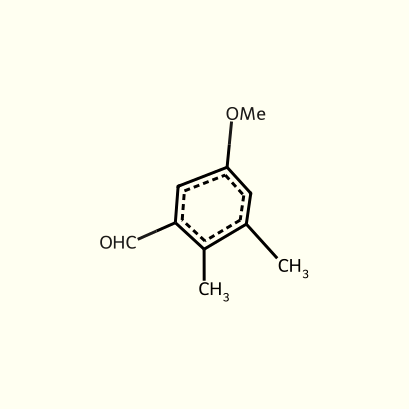 COc1cc(C)c(C)c(C=O)c1